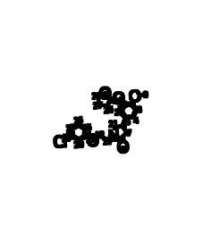 COc1ccc(C2CC(=O)N(CCOc3cccc(Cl)c3)C2)cc1OC1CCCO1